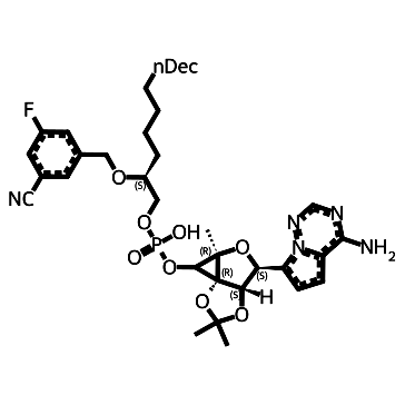 CCCCCCCCCCCCCC[C@@H](COP(=O)(O)OC1[C@@]2(C)O[C@@H](c3ccc4c(N)ncnn34)[C@@H]3OC(C)(C)O[C@@]132)OCc1cc(F)cc(C#N)c1